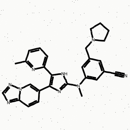 Cc1cccc(-c2[nH]c(N(C)c3cc(C#N)cc(CN4CCCC4)c3)nc2-c2ccc3ncnn3c2)n1